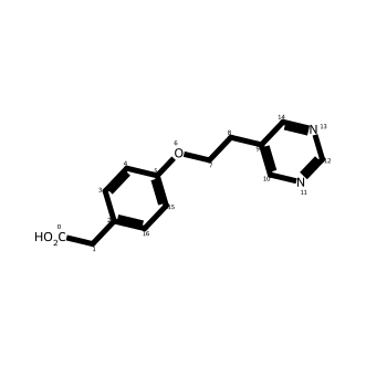 O=C(O)Cc1ccc(OCCc2cncnc2)cc1